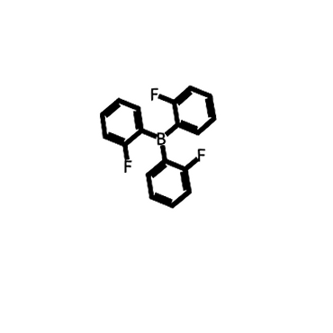 Fc1ccccc1B(c1ccccc1F)c1ccccc1F